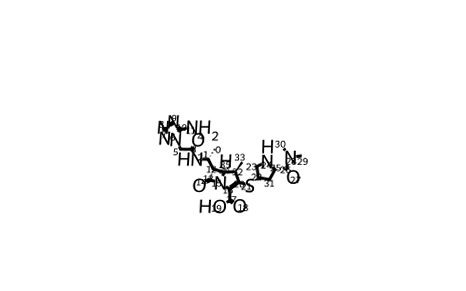 C[C@@H](NC(=O)Cn1nnnc1N)[C@H]1C(=O)N2C(C(=O)O)=C(S[C@@H]3CN[C@H](C(=O)N(C)C)C3)[C@H](C)[C@H]12